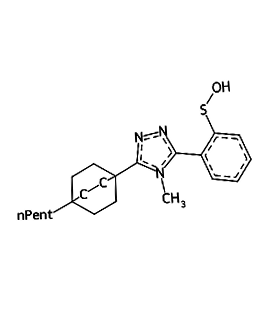 CCCCCC12CCC(c3nnc(-c4ccccc4SO)n3C)(CC1)CC2